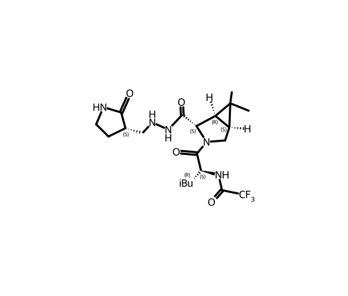 CC[C@@H](C)[C@H](NC(=O)C(F)(F)F)C(=O)N1C[C@H]2[C@@H]([C@H]1C(=O)NNC[C@@H]1CCNC1=O)C2(C)C